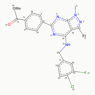 CCc1nn(C)c2nc(-c3ccc(C(=O)OC)cc3)nc(NCc3ccc(Cl)c(F)c3)c12